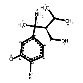 CC(C)[C@@H](CO)C(C)(N)c1ccc(Br)c(Cl)c1